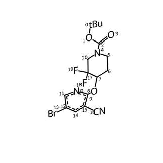 CC(C)(C)OC(=O)N1CCC(Oc2ncc(Br)cc2C#N)C(F)(F)C1